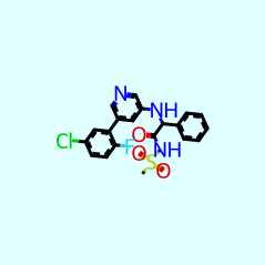 CS(=O)(=O)NC(=O)C(Nc1cncc(-c2cc(Cl)ccc2F)c1)c1ccccc1